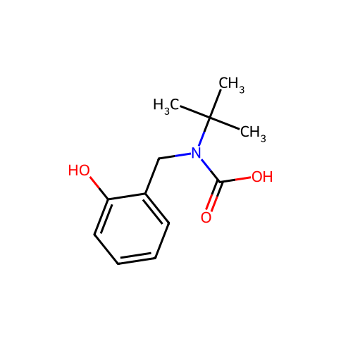 CC(C)(C)N(Cc1ccccc1O)C(=O)O